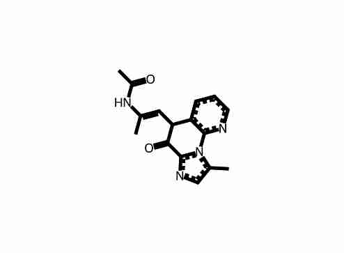 CC(=O)N/C(C)=C/C1C(=O)c2ncc(C)n2-c2ncccc21